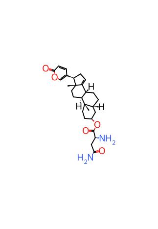 C[C@]12CC[C@H](OC(=O)[C@@H](N)CC(N)=O)C[C@H]1CC[C@H]1C3=CC[C@H](c4ccc(=O)oc4)[C@@]3(C)CC[C@@H]12